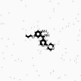 CCCOc1ccc(N)c(C(=N)c2ccnc(N3CCOCC3)c2)c1